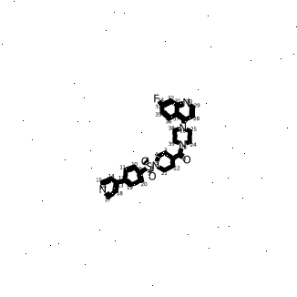 O=C(C1CCN(S(=O)(=O)c2ccc(-c3ccncc3)cc2)CC1)N1CCN(c2ccnc3cc(F)ccc23)CC1